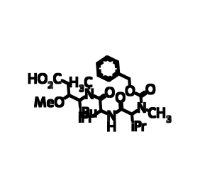 CCC(C)C(C(CC(=O)O)OC)N(C)C(=O)C(NC(=O)C(C(C)C)N(C)C(=O)OCc1ccccc1)C(C)C